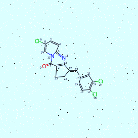 O=c1c2c(nc3ccc(Cl)cn13)C(=Cc1ccc(Cl)c(Cl)c1)CC2